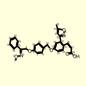 CON=C(COc1ccc(COc2ccc(/C=C\C(=O)O)c(-c3cc(C)on3)c2)cc1)c1ccccc1